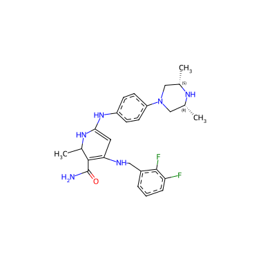 CC1NC(Nc2ccc(N3C[C@@H](C)N[C@@H](C)C3)cc2)=CC(NCc2cccc(F)c2F)=C1C(N)=O